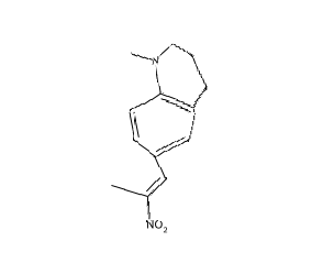 CC(=Cc1ccc2c(c1)CCCN2C)[N+](=O)[O-]